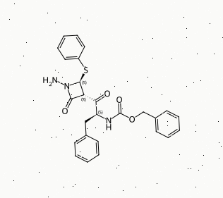 NN1C(=O)[C@@H](C(=O)[C@H](Cc2ccccc2)NC(=O)OCc2ccccc2)[C@@H]1Sc1ccccc1